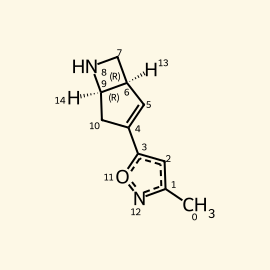 Cc1cc(C2=C[C@@H]3CN[C@@H]3C2)on1